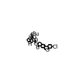 CC(C)(C)OC(=O)N1C(C(=O)OC2CCc3cc4c(cc3C2=O)COc2cc(Cl)ccc2-4)C[C@@H]2CCC[C@@H]21